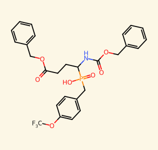 O=C(CCC(NC(=O)OCc1ccccc1)P(=O)(O)Cc1ccc(OC(F)(F)F)cc1)OCc1ccccc1